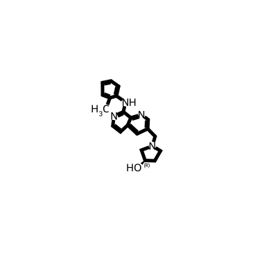 Cc1ccccc1Nc1nccc2cc(CN3CC[C@@H](O)C3)cnc12